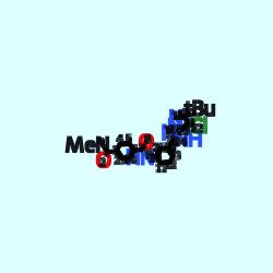 CNC(=O)c1ccc(C(=O)Nc2cccc(-c3nn4nc(C(C)(C)C)c(Cl)c4[nH]3)c2)cc1